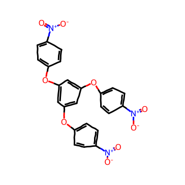 O=[N+]([O-])c1ccc(Oc2cc(Oc3ccc([N+](=O)[O-])cc3)cc(Oc3ccc([N+](=O)[O-])cc3)c2)cc1